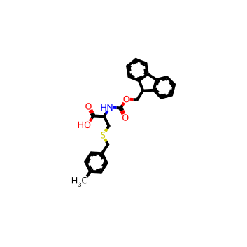 Cc1ccc(CSCC(NC(=O)OCC2c3ccccc3-c3ccccc32)C(=O)O)cc1